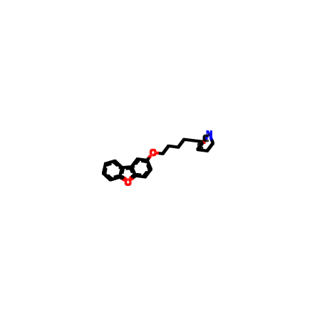 c1ccc2c(c1)oc1ccc(OCCCCC3CN4CCC3CC4)cc12